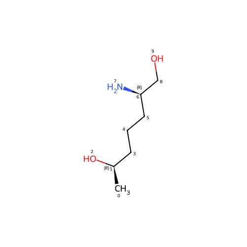 C[C@@H](O)CCC[C@@H](N)CO